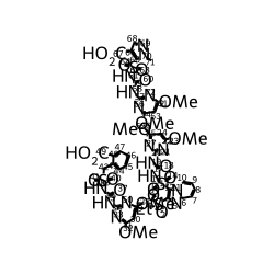 CCS(=O)(=O)c1nc2ccccn2c1S(=O)(=O)NC(=O)Nc1nc(OC)cc(OC)n1.COc1cc(OC)nc(NC(=O)NS(=O)(=O)Cc2ccccc2C(=O)O)n1.COc1cc(OC)nc(NC(=O)NS(=O)(=O)c2c(C(=O)O)cnn2C)n1